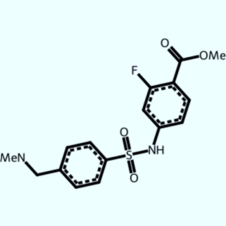 CNCc1ccc(S(=O)(=O)Nc2ccc(C(=O)OC)c(F)c2)cc1